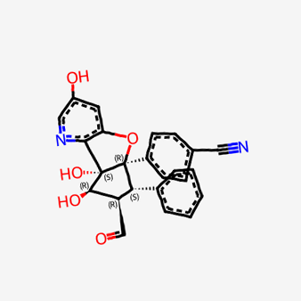 N#Cc1ccc([C@@]23Oc4cc(O)cnc4[C@]2(O)[C@H](O)[C@H](C=O)[C@H]3c2ccccc2)cc1